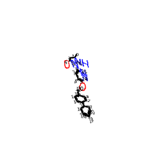 Cc1cc(=O)n(-c2ccc(OCc3ccc(-c4ccccc4)cc3)nn2)[nH]1